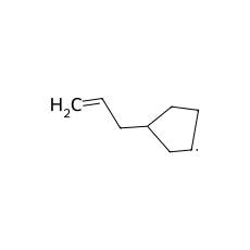 C=CCC1C[CH]CC1